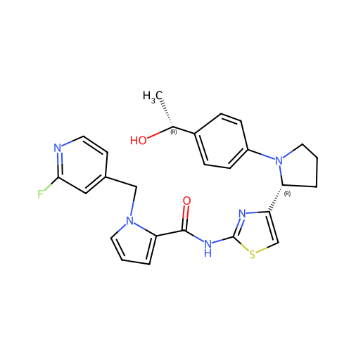 C[C@@H](O)c1ccc(N2CCC[C@@H]2c2csc(NC(=O)c3cccn3Cc3ccnc(F)c3)n2)cc1